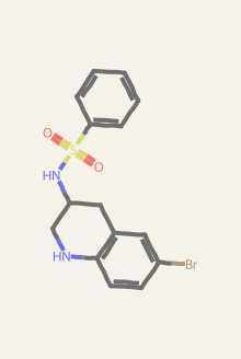 O=S(=O)(NC1CNc2ccc(Br)cc2C1)c1ccccc1